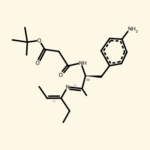 C/C=C(CC)\N=C(/C)[C@H](Cc1ccc(N)cc1)NC(=O)CC(=O)OC(C)(C)C